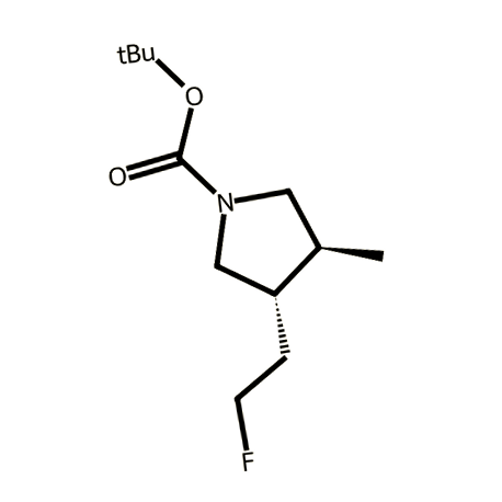 C[C@@H]1CN(C(=O)OC(C)(C)C)C[C@H]1CCF